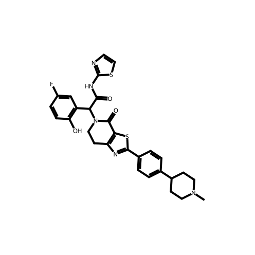 CN1CCC(c2ccc(-c3nc4c(s3)C(=O)N(C(C(=O)Nc3nccs3)c3cc(F)ccc3O)CC4)cc2)CC1